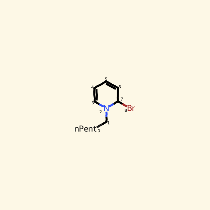 CCCCCCN1C=CC=CC1Br